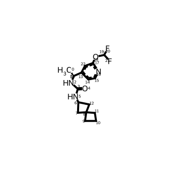 C[C@H](NC(=O)NC1CC2(CCC2)C1)c1ccnc(OC(F)F)c1